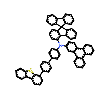 c1ccc2c(c1)-c1ccccc1C21c2ccccc2-c2c(N(c3ccc(-c4ccc(-c5cccc6c5sc5ccccc56)cc4)cc3)c3ccc4c5ccccc5c5ccccc5c4c3)cccc21